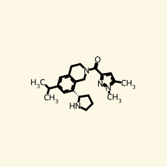 Cc1cc(C(=O)N2CCc3cc(C(C)C)cc([C@@H]4CCCN4)c3C2)nn1C